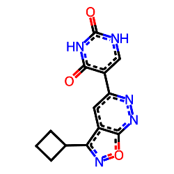 O=c1[nH]cc(-c2cc3c(C4CCC4)noc3nn2)c(=O)[nH]1